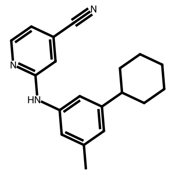 Cc1cc(Nc2cc(C#N)ccn2)cc(C2CCCCC2)c1